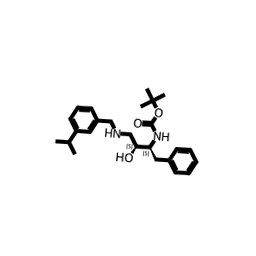 CC(C)c1cccc(CNC[C@H](O)[C@H](Cc2ccccc2)NC(=O)OC(C)(C)C)c1